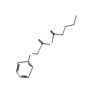 CCC[CH]C(=O)OC(=O)COc1ccccc1